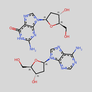 Nc1nc2c(ncn2[C@H]2C[C@H](O)[C@@H](CO)O2)c(=O)[nH]1.Nc1ncnc2c1ncn2[C@H]1C[C@H](O)[C@@H](CO)O1